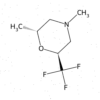 C[C@@H]1CN(C)C[C@@H](C(F)(F)F)O1